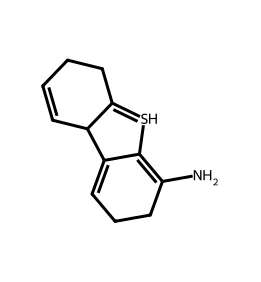 NC1=C2[SH]=C3CCC=CC3C2=CCC1